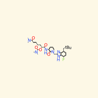 CN(C)C(=O)/C=C/CC[C@H](OC(=O)N(C)C)C(=O)Nc1cccn(Cc2nc3c(CC(C)(C)C)ccc(F)c3[nH]2)c1=O